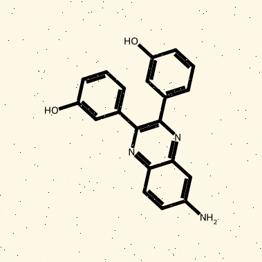 Nc1ccc2nc(-c3cccc(O)c3)c(-c3cccc(O)c3)nc2c1